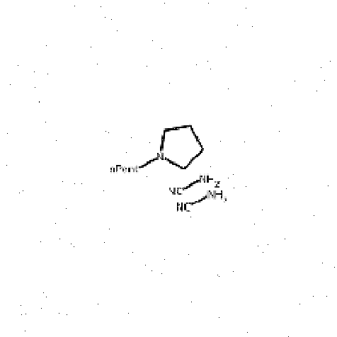 CCCCCN1CCCC1.N#CN.N#CN